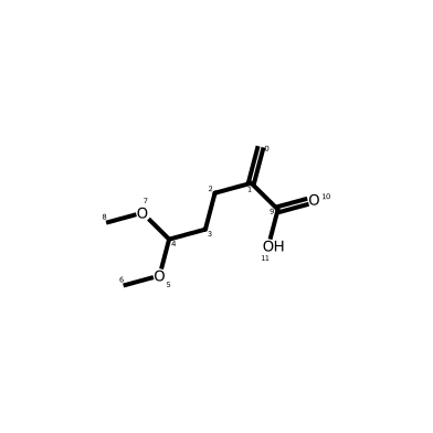 C=C(CCC(OC)OC)C(=O)O